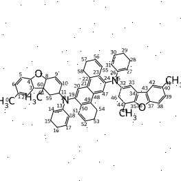 CC1=CC2C(C=C1)OC1C=CC(N(C3=CCCC=C3)c3cc4c5c(c(N(C6=CCCC=C6)C6=Cc7c(oc8ccc(C)cc78)C(C)C6)cc4c4c3C=CCC4)C=CCC5)CC12C